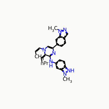 C/C=C\N1C=C(c2ccc3cnn(C)c3c2)N=C(Nc2ccc3[nH]n(C)c3c2)/C1=C\CCC